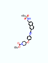 CCCCS(=O)(=O)NCc1ccc2ccc(C#[N+]c3ccc(OC4CCN(C(=O)OC(C)(C)C)CC4)cc3)cc2c1